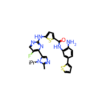 Cc1ncc(-c2nc(Nc3ccc(C(=O)Nc4cc(-c5cccs5)ccc4N)s3)ncc2F)n1C(C)C